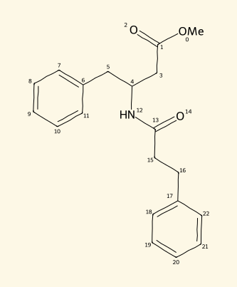 COC(=O)CC(Cc1ccccc1)NC(=O)CCc1ccccc1